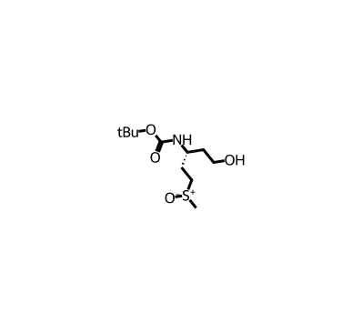 C[S+]([O-])CC[C@@H](CCO)NC(=O)OC(C)(C)C